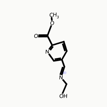 COC(=O)c1ccc(/C=N/CO)cn1